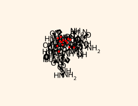 CC[C@H](C)[C@H](NC(=O)[C@H](CCCNC(=N)N)NC(=O)[C@@H]1CCCN1C(=O)[C@H](C)NC(=O)[C@@H](N)CC(N)=O)C(=O)N[C@H](C(=O)N[C@@H](Cc1ccccc1)C(=O)NCC(=O)NCC(=O)N1CCC[C@H]1C(=O)N[C@@H](CO)C(=O)N[C@@H](CC(=O)O)C(=O)N[C@@H](CO)C(=O)N[C@H](C(=O)NCC(=O)N[C@@H](CO)C(=O)N[C@@H](CC(N)=O)C(=O)N[C@@H](CCC(N)=O)C(=O)N[C@@H](CC(N)=O)C(=O)NCC(=O)O)[C@@H](C)O)[C@@H](C)O